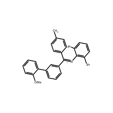 COc1ccccc1-c1cccc(/C(=N/c2c(C(C)C)cccc2C(C)C)c2ccc(C)cc2)c1